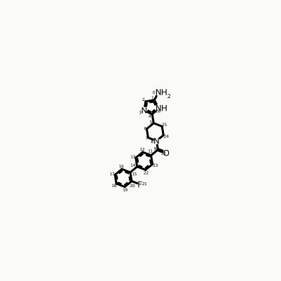 Nc1cnc(C2CCN(C(=O)c3ccc(-c4ccccc4F)cc3)CC2)[nH]1